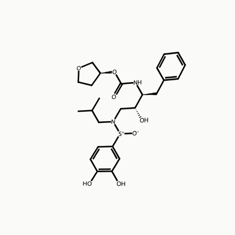 CC(C)CN(C[C@@H](O)[C@H](Cc1ccccc1)NC(=O)O[C@H]1CCOC1)[S+]([O-])c1ccc(O)c(O)c1